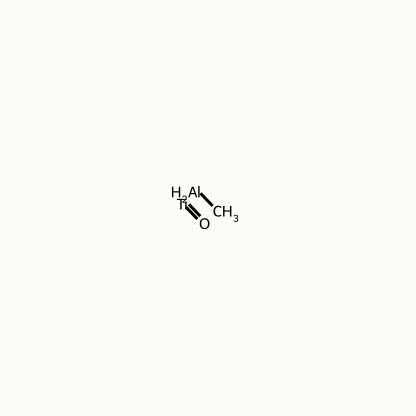 [CH3][AlH2].[O]=[Ti]